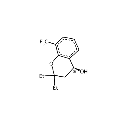 CCC1(CC)C[C@H](O)c2cccc(C(F)(F)F)c2O1